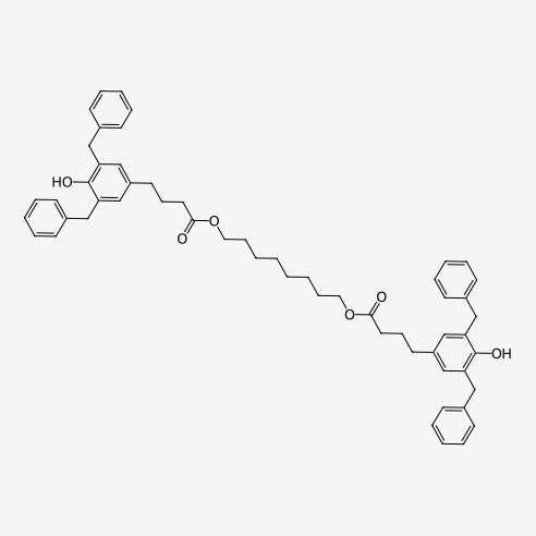 O=C(CCCc1cc(Cc2ccccc2)c(O)c(Cc2ccccc2)c1)OCCCCCCCCOC(=O)CCCc1cc(Cc2ccccc2)c(O)c(Cc2ccccc2)c1